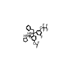 O=C(NC1CCCC1)NC(Cc1ccccc1)(c1ccc(OC(F)F)cc1)c1cc(F)cc(OC(F)(F)C(F)F)c1